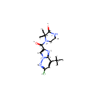 CC(C)(C)c1cc(Cl)nn2cc(C(=O)N3CCNC(=O)C3(C)C)nc12